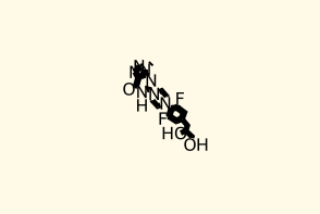 Cn1nnc2c(=O)[nH]c(N3CCN(c4c(F)cc(CC(O)CO)cc4F)CC3)nc21